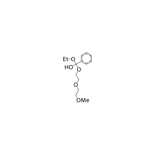 CCOC(O)(OCCOCCOC)c1ccccc1